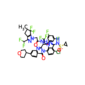 CC1Cc2c(C(F)F)nn(CC(=O)NC(Cc3cc(F)cc(F)c3)c3nc4cc(C5CCOCC5)ccc4c(=O)n3-c3ccc(Cl)c4c(N[S+]([O-])C5CC5)nn(CC(F)F)c34)c2C1(F)F